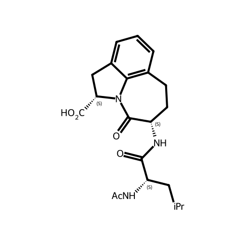 CC(=O)N[C@@H](CC(C)C)C(=O)N[C@H]1CCc2cccc3c2N(C1=O)[C@H](C(=O)O)C3